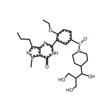 CCCc1nn(C)c2c(=O)[nH]c(-c3cc([S+]([O-])N4CCC(C(O)C(CO)CO)CC4)ccc3OCC)nc12